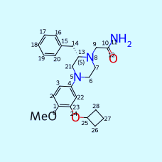 COc1ccc(N2CCN(CC(N)=O)[C@@H](Cc3ccccc3)C2)cc1OC1CCC1